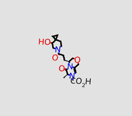 C[C@H]1C(=O)N2C(=CN1C(=O)O)COC[C@@H]2CCC(=O)N1CCC2(CC2)C(O)C1